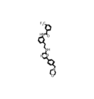 O=C(Nc1cccc(CCNc2cncc(-c3ccc(CN4CCOCC4)cc3)n2)c1)c1cccc(C(F)(F)F)c1